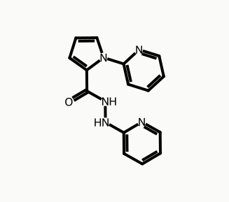 O=C(NNc1ccccn1)c1cccn1-c1ccccn1